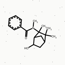 CN(C(=O)c1ccccc1)C1(C)C2CC(CC2O)C1(C)C